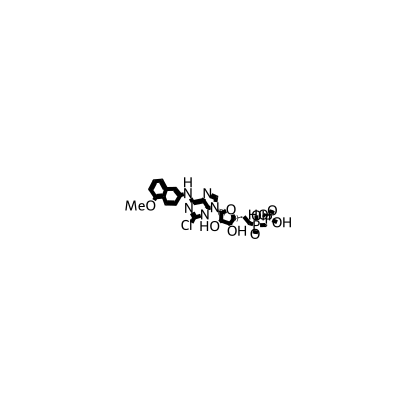 COc1cccc2cc(Nc3nc(Cl)nc4c3ncn4[C@@H]3O[C@H](CCP(=O)(O)CP(=O)(O)O)C(O)C3O)ccc12